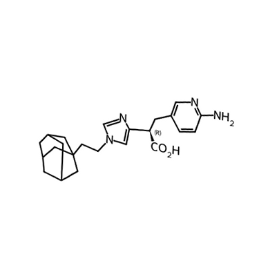 Nc1ccc(C[C@@H](C(=O)O)c2cn(CCC34CC5CC(CC(C5)C3)C4)cn2)cn1